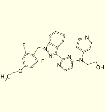 CCOc1cc(F)c(Cn2nc(-c3nccc(N(CCO)c4ccncc4)n3)c3ccccc32)c(F)c1